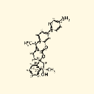 C[C@@H](c1ccc(-c2ccc(N)cn2)cc1)N1CCC(CC(C)(C)O)(c2ccccc2)OC1=O